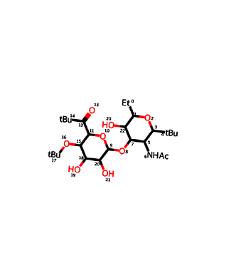 CCC1OC(C(C)(C)C)C(NC(C)=O)C(OC2OC(C(=O)C(C)(C)C)C(OC(C)(C)C)C(O)C2O)C1O